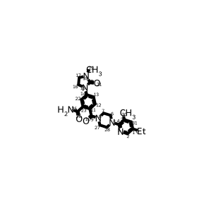 CCc1cnc(N2CCN(C(=O)c3ccc(N4CCN(C)C4=O)cc3C(N)=O)CC2)c(C)c1